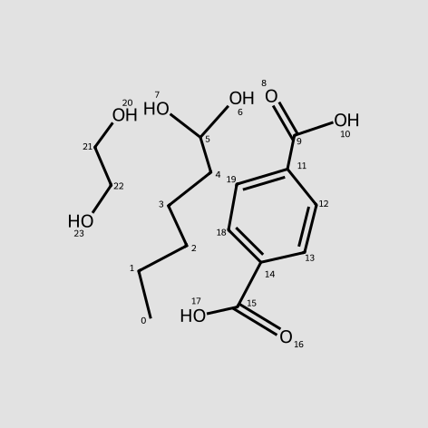 CCCCCC(O)O.O=C(O)c1ccc(C(=O)O)cc1.OCCO